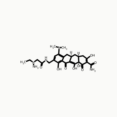 CCN(N)CC(=O)NCc1cc(N(C)C)c2c(c1O)C(=O)C1=C(O)[C@]3(O)C(=O)C(C(N)=O)=C(O)C[C@@H]3C[C@@H]1C2